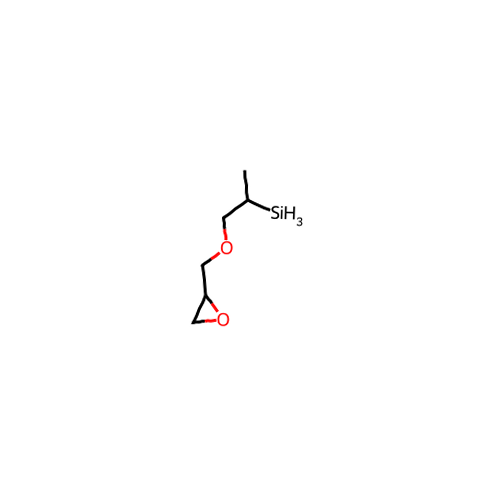 CC([SiH3])COCC1CO1